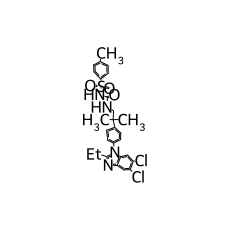 CCc1nc2cc(Cl)c(Cl)cc2n1-c1ccc(C(C)(C)CNC(=O)NS(=O)(=O)c2ccc(C)cc2)cc1